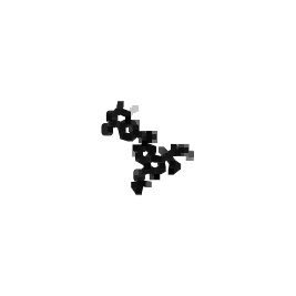 C[C@@H]1OC(=O)c2ccc(Nc3cc4c(C(C)(N)C5CC5)cnc(OC5(C)CC5)c4cn3)nc2[C@H]1C